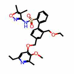 CCOCc1cc(COc2cc(CC)nc(C)c2OC)ccc1-c1ccccc1S(=O)(=O)Nc1noc(C)c1C